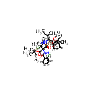 CCC(C)C(NC(=O)C(NC(=O)c1ccccc1F)(C(=O)OC(C)(C)C)C(C)(F)C(C)SSc1ccccc1)C(=O)OC(C)(C)C